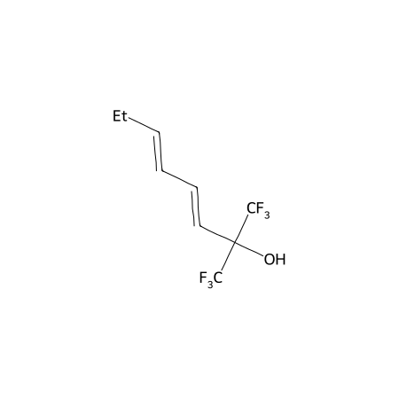 CCC=CC=CC(O)(C(F)(F)F)C(F)(F)F